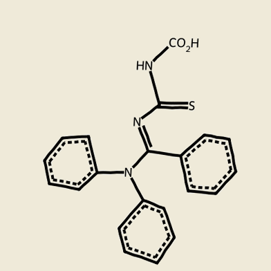 O=C(O)NC(=S)N=C(c1ccccc1)N(c1ccccc1)c1ccccc1